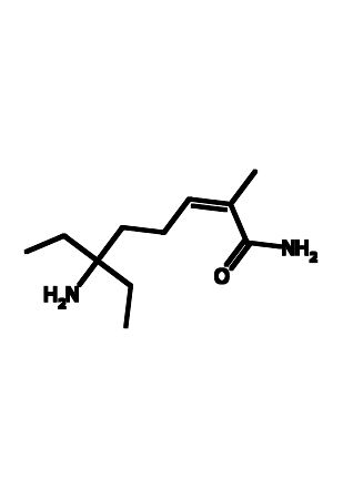 CCC(N)(CC)CCC=C(C)C(N)=O